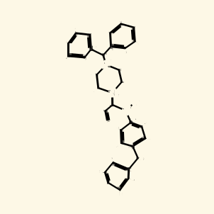 O=CC(N1CCN(C(c2ccccc2)c2ccccc2)CC1)[S+]([O-])c1ccc(Cc2ccccc2)cc1